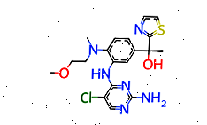 COCCN(C)c1ccc([C@@](C)(O)c2nccs2)cc1Nc1nc(N)ncc1Cl